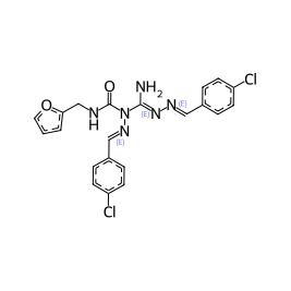 N/C(=N\N=C\c1ccc(Cl)cc1)N(/N=C/c1ccc(Cl)cc1)C(=O)NCc1ccco1